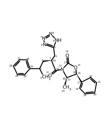 CC(C[C@@H](Cc1nnn[nH]1)C(=O)N1C(=O)O[C@@H](c2ccccc2)[C@H]1C)c1ccccc1